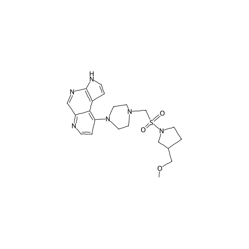 COCC1CCN(S(=O)(=O)CN2CCN(c3ccnc4cnc5[nH]ccc5c34)CC2)C1